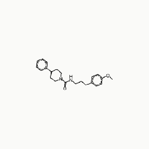 COc1ccc(CCCNC(=O)N2CCC(c3ccccc3)CC2)cc1